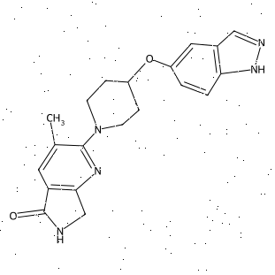 Cc1cc2c(nc1N1CCC(Oc3ccc4[nH]ncc4c3)CC1)CNC2=O